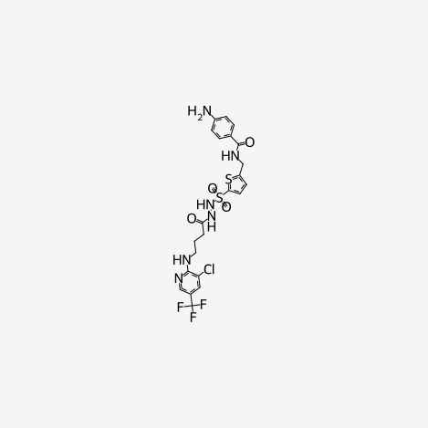 Nc1ccc(C(=O)NCc2ccc(S(=O)(=O)NNC(=O)CCCNc3ncc(C(F)(F)F)cc3Cl)s2)cc1